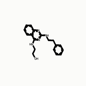 OCCNc1nc(NCCc2ccccc2)nc2ccccc12